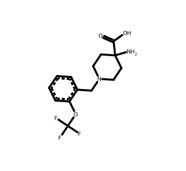 NC1(C(=O)O)CCN(Cc2ccccc2OC(F)(F)F)CC1